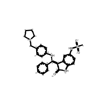 CS(=O)(=O)Nc1ccc2c(c1)/C(=C(\Nc1ccc(CN3CCCC3)cc1)c1ccccc1)C(=O)N2